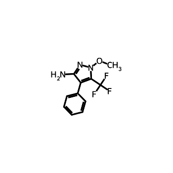 COn1nc(N)c(-c2ccccc2)c1C(F)(F)F